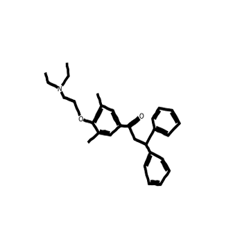 CCN(CC)CCOc1c(C)cc(C(=O)CC(c2ccccc2)c2ccccc2)cc1C